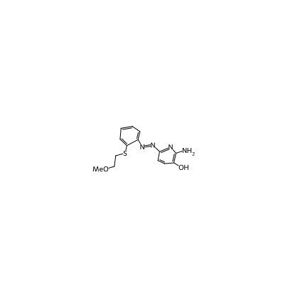 COCCSc1ccccc1N=Nc1ccc(O)c(N)n1